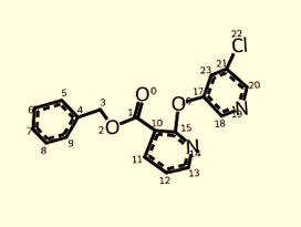 O=C(OCc1ccccc1)c1cccnc1Oc1cncc(Cl)c1